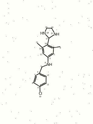 Cc1cc(NCc2ccc(Cl)cc2)cc(C)c1C1NCCN1